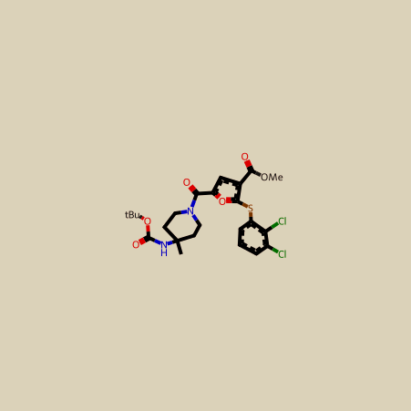 COC(=O)c1cc(C(=O)N2CCC(C)(NC(=O)OC(C)(C)C)CC2)oc1Sc1cccc(Cl)c1Cl